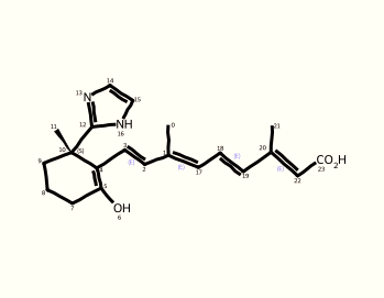 CC(/C=C/C1=C(O)CCC[C@]1(C)c1ncc[nH]1)=C\C=C\C(C)=C\C(=O)O